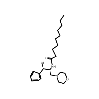 CCCCCCCCCC(=O)N[C@@H](CN1CCOCC1)[C@H](O)c1ccccc1